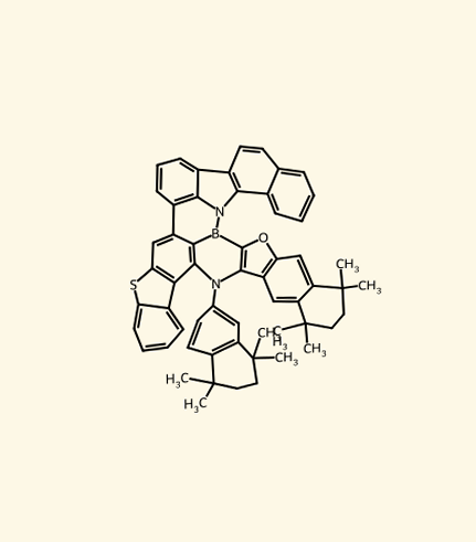 CC1(C)CCC(C)(C)c2cc(N3c4c(oc5cc6c(cc45)C(C)(C)CCC6(C)C)B4c5c(cc6sc7ccccc7c6c53)-c3cccc5c6ccc7ccccc7c6n4c35)ccc21